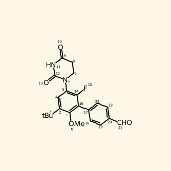 COc1c(C(C)(C)C)cc(N2CCC(=O)NC2=O)c(F)c1-c1ccc(C=O)cc1